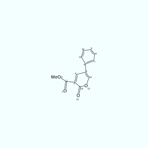 COC(=O)c1cc(-c2ccccc2)coc1=O